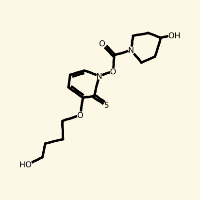 O=C(On1cccc(OCCCCO)c1=S)N1CCC(O)CC1